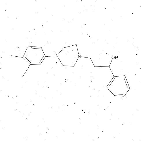 Cc1ccc(N2CCN(CCC(O)c3ccccc3)CC2)cc1C